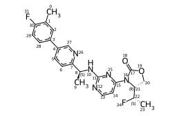 Cc1cc(-c2ccc([C@H](C)Nc3nccc(N4C(=O)OC[C@@H]4[C@H](C)F)n3)nc2)ccc1F